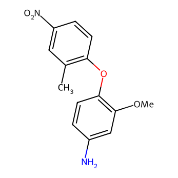 COc1cc(N)ccc1Oc1ccc([N+](=O)[O-])cc1C